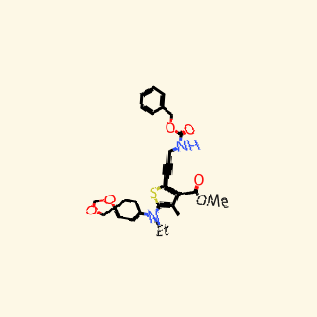 CCN(c1sc(C#CCNC(=O)OCc2ccccc2)c(C(=O)OC)c1C)C1CCC2(CC1)COCO2